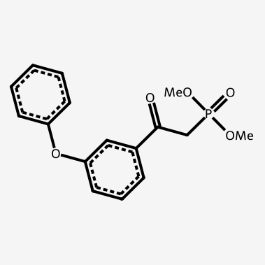 COP(=O)(CC(=O)c1cccc(Oc2ccccc2)c1)OC